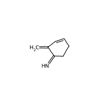 C=C1C=CCCC1=N